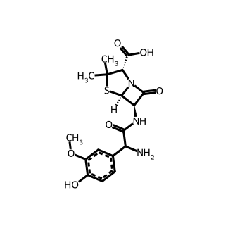 COc1cc(C(N)C(=O)N[C@@H]2C(=O)N3[C@@H]2SC(C)(C)[C@@H]3C(=O)O)ccc1O